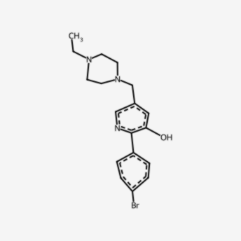 CCN1CCN(Cc2cnc(-c3ccc(Br)cc3)c(O)c2)CC1